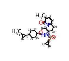 Cc1ccc2n(c1=O)C(COC1CCC(C3CC3C)CC1)C(N[S+]([O-])C1CC1)CC2